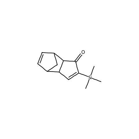 C[Si](C)(C)C1=CC2C3C=CC(C3)C2C1=O